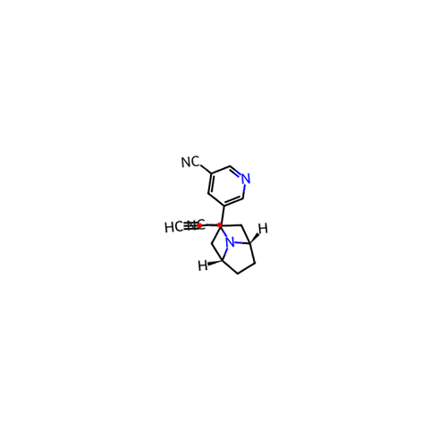 C#CCN1[C@@H]2CC[C@H]1CC(C#N)(c1cncc(C#N)c1)C2